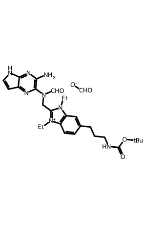 CCn1c(CN(C=O)c2nc3cc[nH]c3nc2N)[n+](CC)c2ccc(CCCNC(=O)OC(C)(C)C)cc21.O=C[O-]